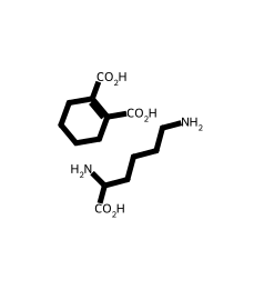 NCCCCC(N)C(=O)O.O=C(O)C1=C(C(=O)O)CCCC1